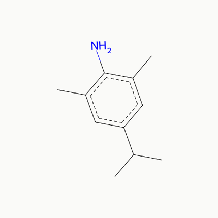 Cc1cc(C(C)C)cc(C)c1N